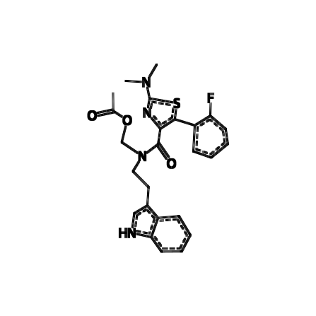 CC(=O)OCN(CCc1c[nH]c2ccccc12)C(=O)c1nc(N(C)C)sc1-c1ccccc1F